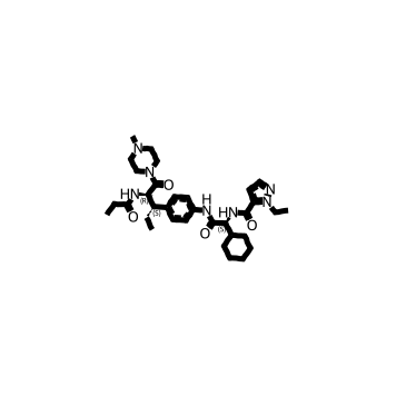 CCC(=O)N[C@@H](C(=O)N1CCN(C)CC1)[C@@H](CC)c1ccc(NC(=O)[C@@H](NC(=O)c2ccnn2CC)C2CCCCC2)cc1